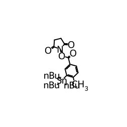 CCC[CH2][Sn]([CH2]CCC)([CH2]CCC)[c]1cc(C(=O)ON2C(=O)CCC2=O)ccc1C